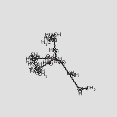 C=C=C/C=C/O[PH](=O)OCCCCCCCCCC/C(=C/NCCCCCCCC(=O)N1CCC(C(=O)NC(COCCC(=O)NCCCCCCOC2OC(CO)C(O)C(O)C2NC(C)=O)(COCCC(=O)NCCCCCCOC2OC(CO)C(O)C(O)C2NC(C)=O)COCCC(=O)NCCCCCCOC2OC(CO)C(O)C(O)C2NC(C)=O)CC1)N=N